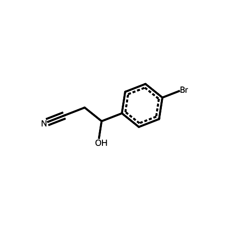 N#CCC(O)c1ccc(Br)cc1